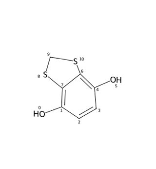 Oc1ccc(O)c2c1SCS2